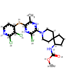 Cc1nc(N2CCC3(CCC[C@H]3NC(=O)OC(C)(C)C)CC2)c(Br)nc1Sc1ccnc(Cl)c1Cl